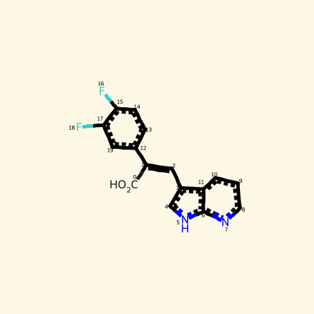 O=C(O)/C(=C\c1c[nH]c2ncccc12)c1ccc(F)c(F)c1